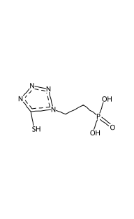 O=P(O)(O)CCn1nnnc1S